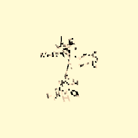 COC(=O)[C@@H](C)NP(=O)(CCc1ccc2c(c1)OCO2)OCCOCN1C=NC2C(=O)NC(C)(N)N=C21